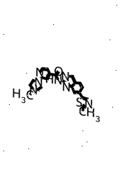 Cc1ncc(-c2ccc3cnc(NC(=O)c4ccnc(N5CCN(C)CC5)c4)nc3c2)s1